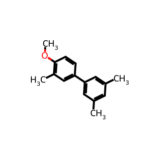 COc1ccc(-c2cc(C)cc(C)c2)cc1C